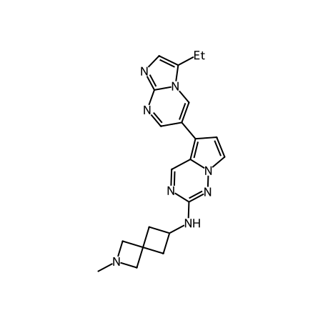 CCc1cnc2ncc(-c3ccn4nc(NC5CC6(C5)CN(C)C6)ncc34)cn12